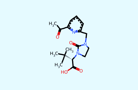 CC(=O)c1cccc(CN2CCN([C@H](C(=O)O)C(C)(C)C)C2=O)n1